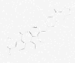 COc1c(C(N)=O)cc(C(C)(C)C)c(-c2c(C(=O)O)n(C)c3c(CN4CCN(C(=O)C5CCCN5C)CC4)cccc23)c1C(N)=O